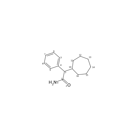 NC(=O)C(c1ccccc1)C1CCCCCC1